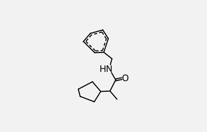 CC(C(=O)NCc1ccccc1)C1CCCC1